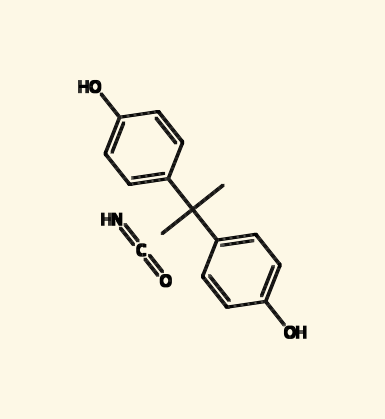 CC(C)(c1ccc(O)cc1)c1ccc(O)cc1.N=C=O